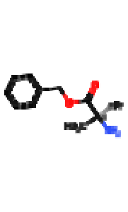 CCC[C@](N)(C(=O)O)C(=O)OCc1ccccc1